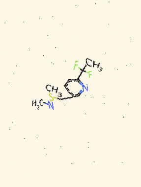 C/N=S(\C)Cc1ccc(C(C)(F)F)nc1